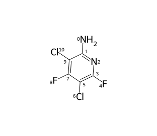 Nc1nc(F)c(Cl)c(F)c1Cl